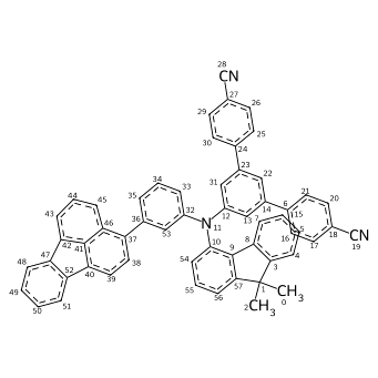 CC1(C)c2ccccc2-c2c(N(c3cc(-c4ccc(C#N)cc4)cc(-c4ccc(C#N)cc4)c3)c3cccc(-c4ccc5c6c(cccc46)-c4ccccc4-5)c3)cccc21